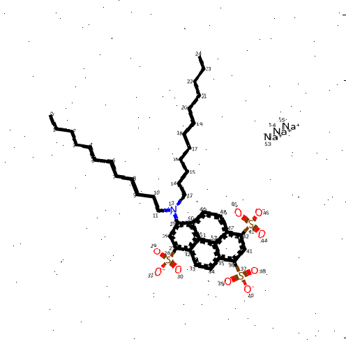 CCCCCCCCCCCCN(CCCCCCCCCCCC)c1cc(S(=O)(=O)[O-])c2ccc3c(S(=O)(=O)[O-])cc(S(=O)(=O)[O-])c4ccc1c2c43.[Na+].[Na+].[Na+]